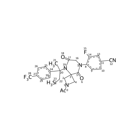 CC(=O)N1CC2(C1)C(=O)N(c1ccc(C#N)cc1F)CC(=O)N2C(C)(C[SiH3])c1ccc(C(F)(F)F)cc1